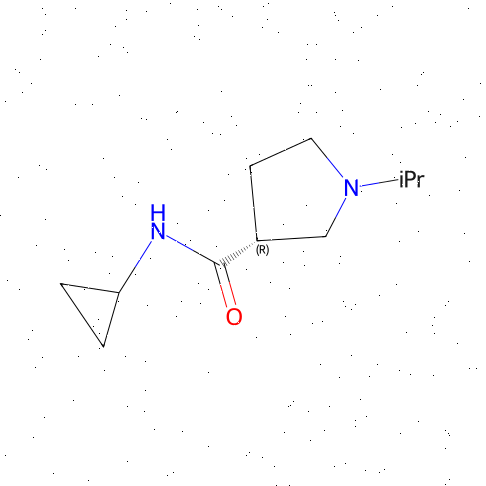 CC(C)N1CC[C@@H](C(=O)NC2CC2)C1